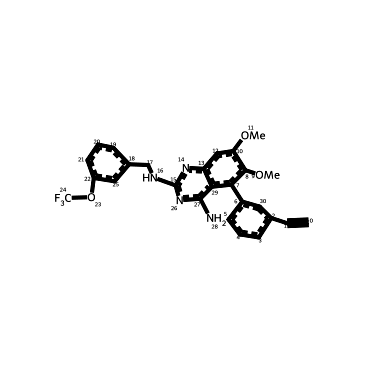 C#Cc1cccc(-c2c(OC)c(OC)cc3nc(NCc4cccc(OC(F)(F)F)c4)nc(N)c23)c1